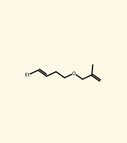 C=C(C)COCCC=CCC